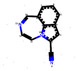 N#Cc1cc2cccc3c2n1C=CN=C3